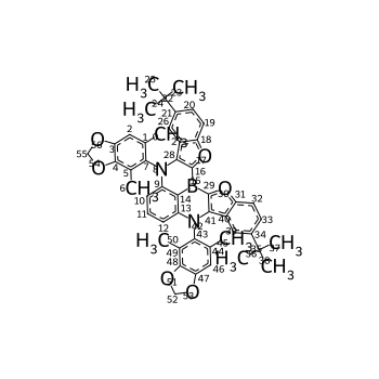 Cc1cc2c(c(C)c1N1c3cccc4c3B(c3oc5ccc(C(C)(C)C)cc5c31)c1oc3ccc(C(C)(C)C)cc3c1N4c1c(C)cc3c(c1C)OCO3)OCO2